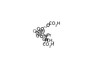 CC(C)N(CCN(C)C(=O)CCC(=O)O)Cc1cccc(C(=O)Nc2sc3c(c2C(=O)Nc2ccc(CCc4ccc(C(=O)O)cc4)cc2)CCCC3)c1